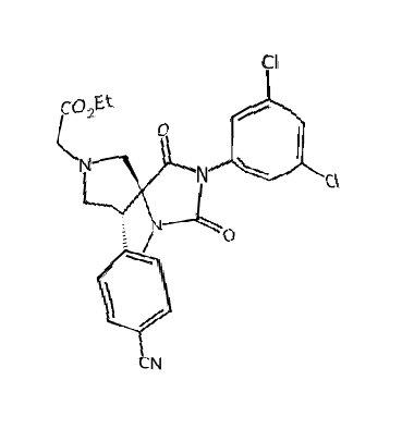 CCOC(=O)CN1C[C@@H](c2ccc(C#N)cc2)[C@]2(C1)C(=O)N(c1cc(Cl)cc(Cl)c1)C(=O)N2C